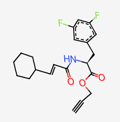 C#CCOC(=O)[C@H](Cc1cc(F)cc(F)c1)NC(=O)/C=C/C1CCCCC1